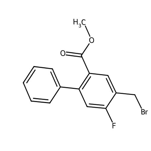 COC(=O)c1cc(CBr)c(F)cc1-c1ccccc1